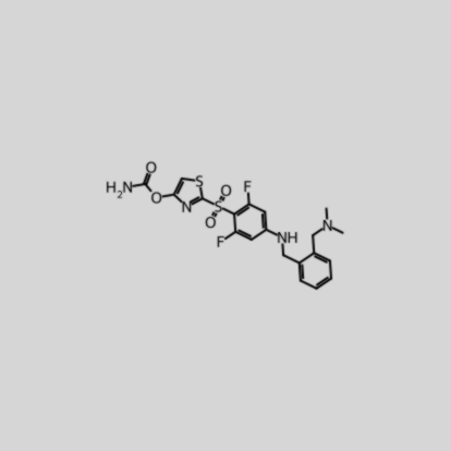 CN(C)Cc1ccccc1CNc1cc(F)c(S(=O)(=O)c2nc(OC(N)=O)cs2)c(F)c1